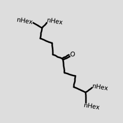 CCCCCCC(CCCCCC)CCCC(=O)CCCC(CCCCCC)CCCCCC